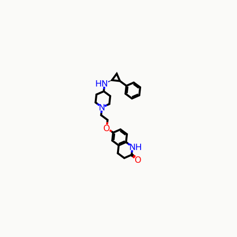 O=C1CCc2cc(OCCN3CCC(N[C@@H]4CC4c4ccccc4)CC3)ccc2N1